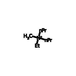 [CH2]C[N+](C)(CCC)CCC